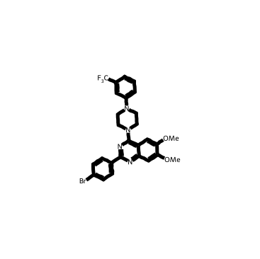 COc1cc2nc(-c3ccc(Br)cc3)nc(N3CCN(c4cccc(C(F)(F)F)c4)CC3)c2cc1OC